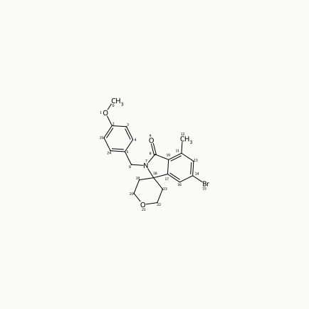 COc1ccc(CN2C(=O)c3c(C)cc(Br)cc3C23CCOCC3)cc1